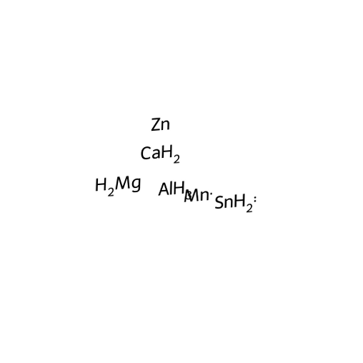 [AlH3].[CaH2].[MgH2].[Mn].[SnH2].[Zn]